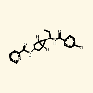 CCC(NC(=O)c1ccc(Cl)cc1)[C@H]1[C@@H]2C[C@@H](NC(=O)c3ccccn3)C[C@@H]21